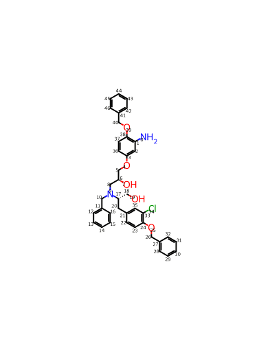 Nc1cc(OC[C@@H](O)CN(Cc2ccccc2)[C@H](CO)Cc2ccc(OCc3ccccc3)c(Cl)c2)ccc1OCc1ccccc1